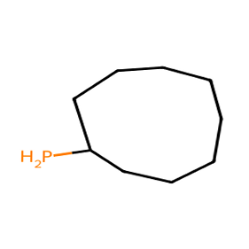 PC1CCCCCCCC1